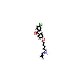 CN(CCCCCCOc1ccc(C(=O)c2ccc(Br)cc2)cc1)CC1CC1